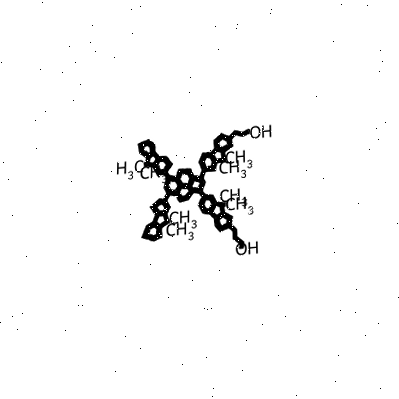 CC1(C)c2ccccc2-c2ccc(-c3cc(-c4ccc5c(c4)C(C)(C)c4ccccc4-5)c4ccc5c(-c6ccc7c(c6)C(C)(C)c6cc(CCCO)ccc6-7)cc(-c6ccc7c(c6)C(C)(C)c6cc(CCCO)ccc6-7)c6ccc3c4c65)cc21